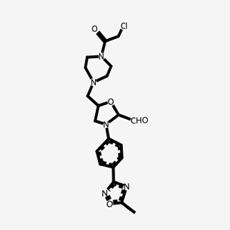 Cc1nc(-c2ccc(N3CC(CN4CCN(C(=O)CCl)CC4)OC3C=O)cc2)no1